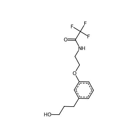 O=C(NCCOc1cccc(CCCO)c1)C(F)(F)F